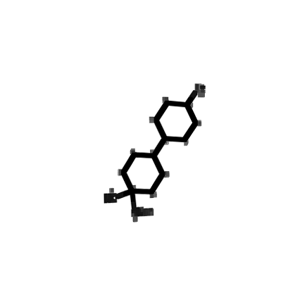 CCCCCCCCCC1(C#N)CCC(C2CCC(CC)CC2)CC1